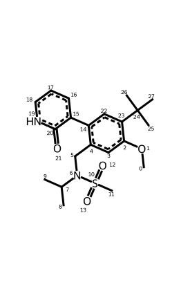 COc1cc(CN(C(C)C)S(C)(=O)=O)c(-c2ccc[nH]c2=O)cc1C(C)(C)C